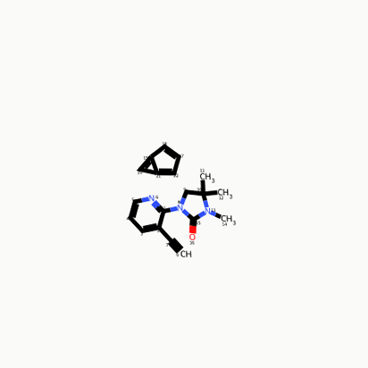 C#Cc1cccnc1N1CC(C)(C)N(C)C1=O.c1cc2cc-2c1